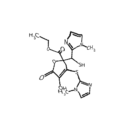 CCOC(=O)C1(C(S)c2nccn2C)OC(=O)C(O)=C1Sc1nccn1C